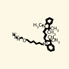 CN1/C(=C/C=C/C2=[N+](CCCCCCOCN=[N+]=[N-])c3ccccc3C2(C)C)C(C)(C)c2ccccc21